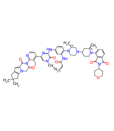 C=CC(=O)Nc1cc(Nc2nc(-c3ccnc(N4CCn5c(cc6c5CC(C)(C)C6)C4=O)c3CO)cn(C)c2=O)ccc1N1CCN(C2CCN(c3cccc4c3C(=O)N(C3CCOCC3)C4=O)[C@H](C)C2)C[C@@H]1C